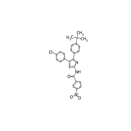 CC(C)(C)c1ccc(-c2nc(NC(=O)c3ccc([N+](=O)[O-])s3)sc2-c2ccc(Cl)cc2)cc1